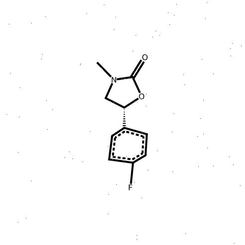 CN1C[C@@H](c2ccc(F)cc2)OC1=O